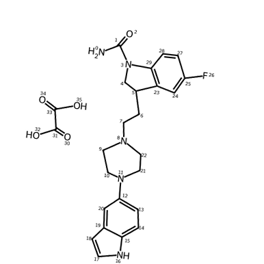 NC(=O)N1CC(CCN2CCN(c3ccc4[nH]ccc4c3)CC2)c2cc(F)ccc21.O=C(O)C(=O)O